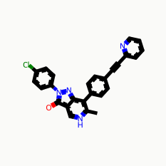 Cc1[nH]cc2c(=O)n(-c3ccc(Cl)cc3)nc-2c1-c1ccc(C#Cc2ccccn2)cc1